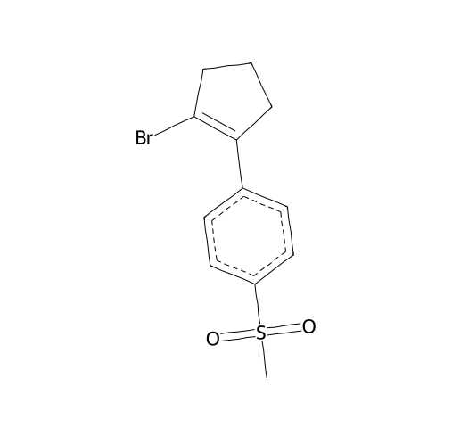 CS(=O)(=O)c1ccc(C2=C(Br)CCC2)cc1